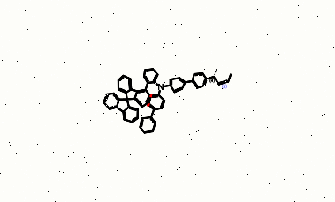 C/C=C\[C@@H](C)c1ccc(-c2ccc(N(c3ccc(-c4ccccc4)cc3)c3ccccc3-c3cccc4c3-c3ccccc3C43c4ccccc4-c4ccccc43)cc2)cc1